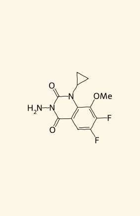 COc1c(F)c(F)cc2c(=O)n(N)c(=O)n(C3CC3)c12